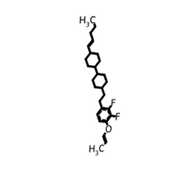 C/C=C/Oc1ccc(CCC2CCC(C3CCC(/C=C/CCC)CC3)CC2)c(F)c1F